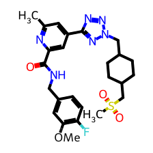 COc1cc(CNC(=O)c2cc(-c3nnn(CC4CCC(CS(C)(=O)=O)CC4)n3)cc(C)n2)ccc1F